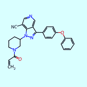 C=CC(=O)N1CCCC(n2nc(-c3ccc(Oc4ccccc4)cc3)c3cncc(C#N)c32)C1